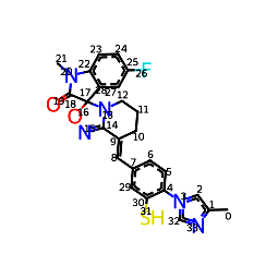 Cc1cn(-c2ccc(/C=C3\CCCN4C3=NOC43C(=O)N(C)c4ccc(F)cc43)cc2S)cn1